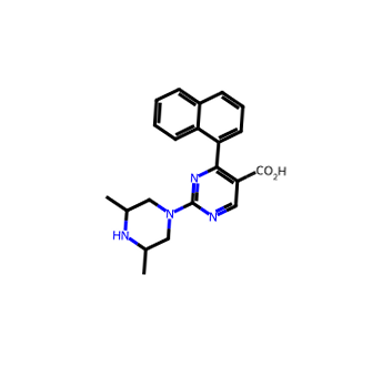 CC1CN(c2ncc(C(=O)O)c(-c3cccc4ccccc34)n2)CC(C)N1